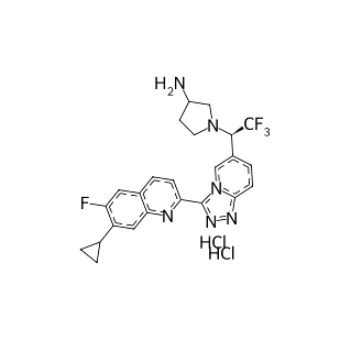 Cl.Cl.NC1CCN([C@H](c2ccc3nnc(-c4ccc5cc(F)c(C6CC6)cc5n4)n3c2)C(F)(F)F)C1